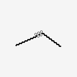 CCCCCCCCCCCCCCCC(=O)OC(=O)OC(=O)CCCCCCCCCCCCCCC